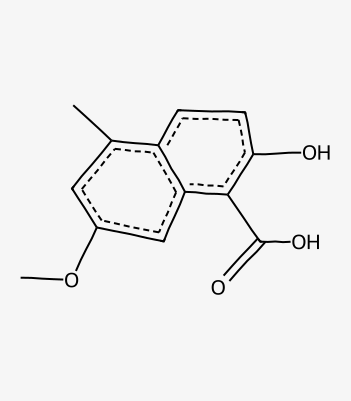 COc1cc(C)c2ccc(O)c(C(=O)O)c2c1